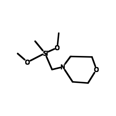 CO[Si](C)(CN1CCOCC1)OC